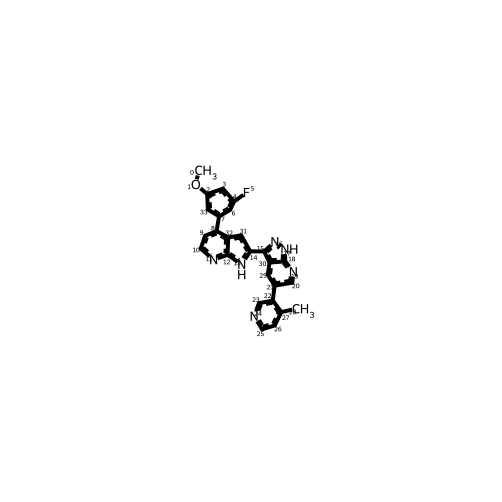 COc1cc(F)cc(-c2ccnc3[nH]c(-c4n[nH]c5ncc(-c6cnccc6C)cc45)cc23)c1